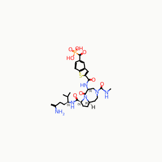 C=C(N)CC[C@H](NC(=O)[C@@H]1CC[C@@H]2CCN(C(=O)NC)C[C@H](NC(=O)c3cc4cc(C(=O)P(=O)(O)O)ccc4s3)C(=O)N21)C(C)C